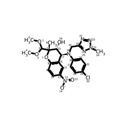 COC(OC)[C@@]1(C)Oc2ccc([N+](=O)[O-])cc2[C@H](N(Cc2nnn(C)n2)c2ccc(Cl)cc2)[C@H]1O